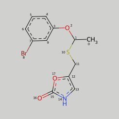 CC(Oc1cccc(Br)c1)SCc1c[nH]c(=O)o1